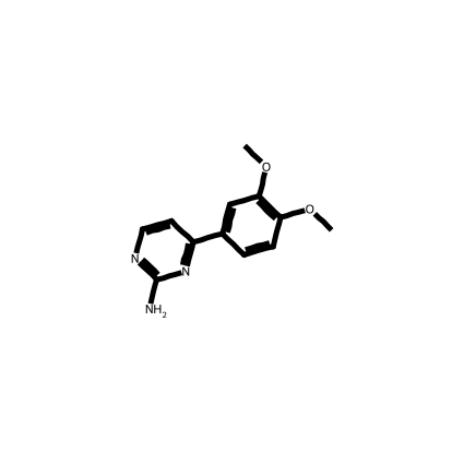 COc1ccc(-c2ccnc(N)n2)cc1OC